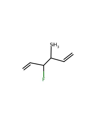 C=CC(F)C([SiH3])C=C